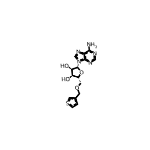 Nc1ncnc2c1ncn2[C@@H]1O[C@H](COCc2ccsc2)[C@@H](O)[C@H]1O